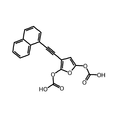 O=C(O)Oc1cc(C#Cc2cccc3ccccc23)c(OC(=O)O)o1